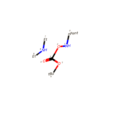 CCCCCNOC(=O)OC(C)(C)C.CCNCC